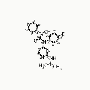 CC(C)Nc1nccc(N(C(=O)N(C)c2ccncc2)c2ccc(F)cc2)n1